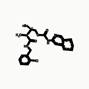 [CH2]CCC[C@@H](COC(=O)Nc1cc2ccccc2cn1)N(C)C(=O)NCc1ccccc1Cl